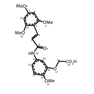 COc1cc(OC)c(C=CC(=O)Nc2ccc(OC)c(OCC(=O)O)c2)c(OC)c1